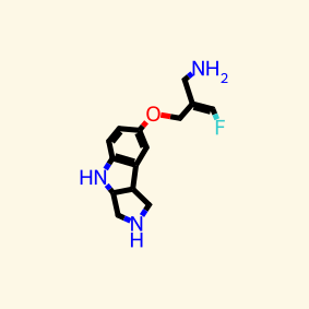 NC/C(=C/F)COc1ccc2c(c1)C1CNCC1N2